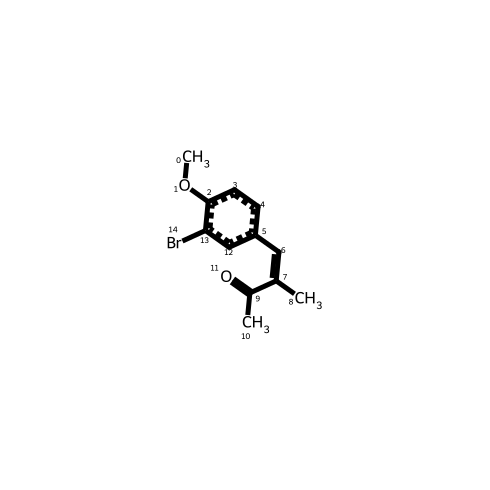 COc1ccc(C=C(C)C(C)=O)cc1Br